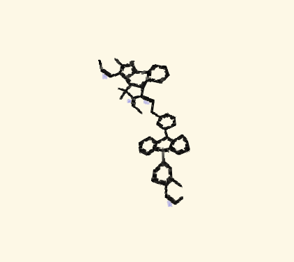 C/C=C\c1ccc(-c2c3ccccc3c(-c3cccc(C/C=C4\C(=C/C)C(C)(C)c5c4c4ccccc4c4sc(C)c(/C=C\C)c54)c3)c3ccccc23)cc1C